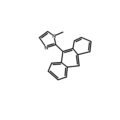 Cn1ccnc1-c1c2ccccc2cc2ccccc12